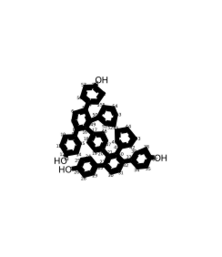 Oc1ccc(-c2ccc(-c3ccc(O)cc3)c(-c3ccc(-c4c(-c5ccc(O)cc5)ccc(-c5ccc(O)cc5)c4-c4ccccc4)cc3)c2-c2ccccc2)cc1